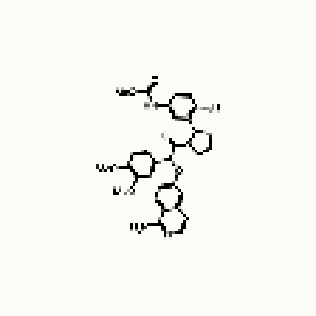 COC(=O)Nc1ccc(S)c([C@H]2CCCN2C(=O)[C@@H](Oc2ccc3c(N)nccc3c2)c2ccc(OC)c(OC)c2)c1